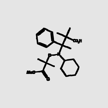 COC(=O)C(C)(C)ON(C1CCCCC1)C(C)(c1ccccc1)C(C)(C)C(=O)O